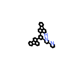 C1=C(c2cc(-c3ccc4c5c(cccc35)-c3ccccc3-4)cc(-c3ccc4c5c(cccc35)-c3ccccc3-4)c2)NCC(c2ccccn2)=C1